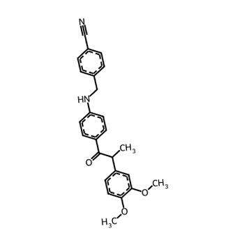 COc1ccc(C(C)C(=O)c2ccc(NCc3ccc(C#N)cc3)cc2)cc1OC